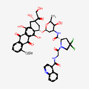 COc1cccc2c1C(=O)c1c(O)c3c(c(O)c1C2=O)C[C@@](O)(C(=O)CO)C[C@@H]3OC1CC(NC(=O)[C@@H]2CC(F)(F)CN2C(=O)CNC(=O)c2ccnc3ccccc23)C(O)C(C)O1